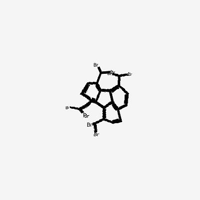 BrC(Br)c1ccc(C(Br)Br)c2c1-c1c(C(Br)Br)ccc3ccc(C(Br)Br)c-2c13